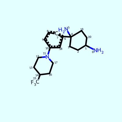 NC1CCC(N)(c2cccc(N3CCC(C(F)(F)F)CC3)c2)CC1